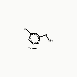 CCCCOc1cccc(Cl)c1.CO